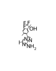 Cc1ccc(C(C)(O)C(F)(F)F)cc1-c1cnc2c(N)nc(I)cn12